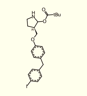 CC(C)(C)C(=O)OC1NCC[C@@H]1COc1ccc(Cc2ccc(I)cc2)cc1